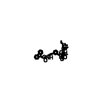 CCCC[Si](OC[C@H]1ON(Cc2cccc(C#CCNC(=O)OCC3c4ccccc4-c4ccccc43)c2)[C@H]2C(=O)O[C@H](C)[C@@H]12)(C(C)C)C(C)C